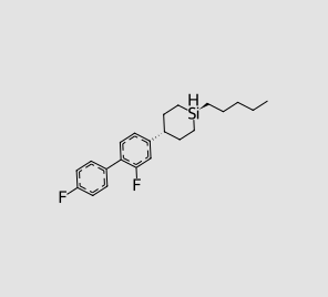 CCCCC[Si@H]1CC[C@H](c2ccc(-c3ccc(F)cc3)c(F)c2)CC1